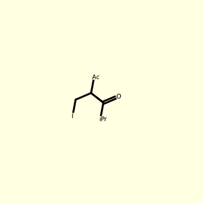 CC(=O)C(CI)C(=O)C(C)C